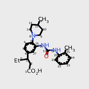 CCC(CC(=O)O)c1ccc(N2CCC(C)CC2)c(NC(=O)Nc2ccccc2C)c1